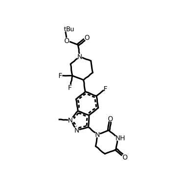 Cn1nc(N2CCC(=O)NC2=O)c2cc(F)c(C3CCN(C(=O)OC(C)(C)C)CC3(F)F)cc21